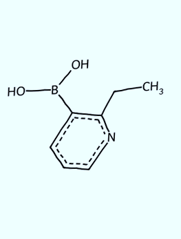 CCc1ncccc1B(O)O